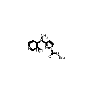 CC(C)(C)OC(=O)n1ccc(N(N)c2ccncc2N)n1